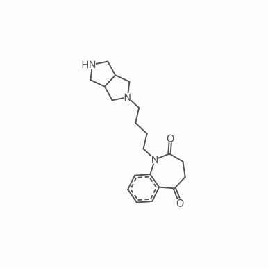 O=C1CCC(=O)N(CCCCN2CC3CNCC3C2)c2ccccc21